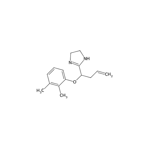 C=CCC(Oc1cccc(C)c1C)C1=NCCN1